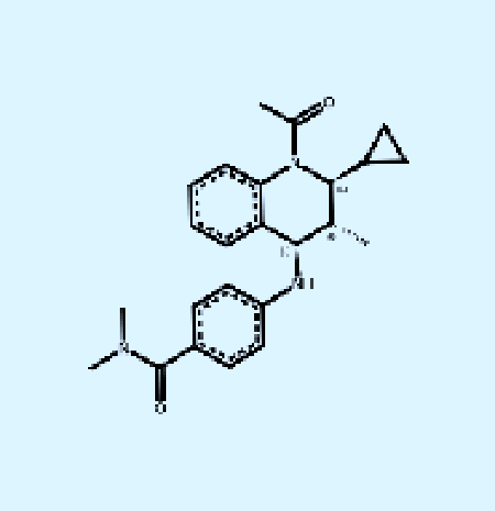 CC(=O)N1c2ccccc2[C@H](Nc2ccc(C(=O)N(C)C)cc2)[C@@H](C)[C@@H]1C1CC1